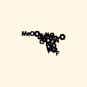 COc1ccc(CN(c2nn(C)c3c(-n4c(C(Cc5cc(F)cc(F)c5)NC(=O)OC(C)(C)C)nc(-c5ccccc5)cc4=O)ccc(Cl)c23)S(C)(=O)=O)cc1